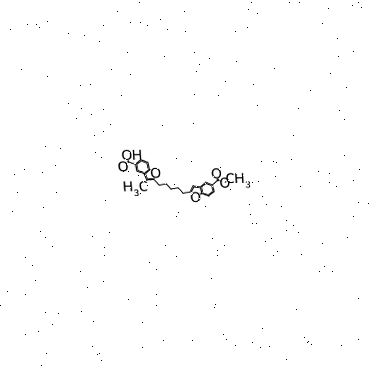 COC(=O)c1ccc2oc(CCCCCc3oc4ccc(C(=O)O)cc4c3C)cc2c1